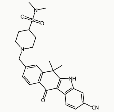 CN(C)S(=O)(=O)C1CCN(Cc2ccc3c(c2)C(C)(C)c2[nH]c4cc(C#N)ccc4c2C3=O)CC1